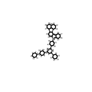 c1ccc(-c2ccc(-c3cc(-c4ccccc4)nc(-c4ccc(-n5c6ccccc6c6c7c(ccc65)-c5cccc6cccc-7c56)cc4)n3)cc2)cc1